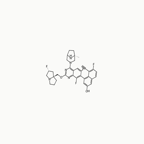 C#Cc1c(F)ccc2cc(O)cc(-c3c(F)cc4c(N5CC6CC[C@@](C)(C5)N6)nc(OC[C@@]56CCCN5C[C@H](F)C6)nc4c3F)c12